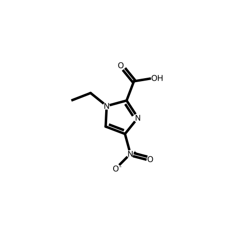 CCn1cc([N+](=O)[O-])nc1C(=O)O